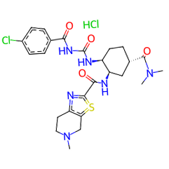 CN1CCc2nc(C(=O)N[C@@H]3C[C@@H](C(=O)N(C)C)CC[C@@H]3NC(=O)NC(=O)c3ccc(Cl)cc3)sc2C1.Cl